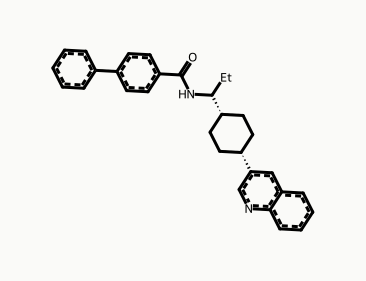 CCC(NC(=O)c1ccc(-c2ccccc2)cc1)[C@H]1CC[C@@H](c2cnc3ccccc3c2)CC1